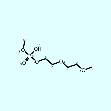 COCCOCCOP(=O)(O)OC